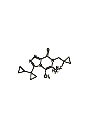 Cc1c(C)n2c(C3(C4CC4)CC3)nnc2c(=O)n1CC1(C)CC1